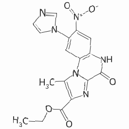 CCOC(=O)c1nc2c(=O)[nH]c3cc([N+](=O)[O-])c(-n4ccnc4)cc3n2c1C